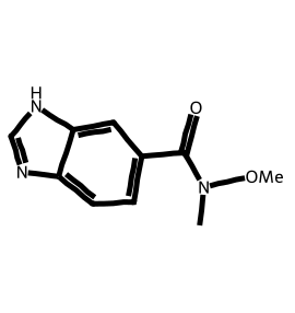 CON(C)C(=O)c1ccc2nc[nH]c2c1